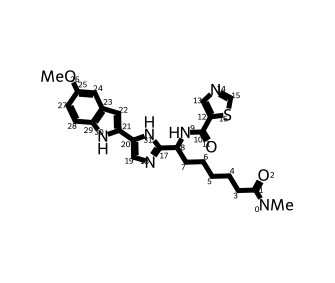 CNC(=O)CCCCCC(NC(=O)c1cncs1)c1ncc(-c2cc3cc(OC)ccc3[nH]2)[nH]1